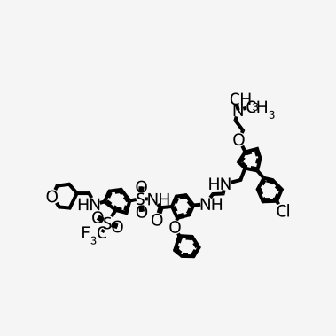 CN(C)CCOc1ccc(-c2ccc(Cl)cc2)c(CNCCNc2ccc(C(=O)NS(=O)(=O)c3ccc(NCC4CCOCC4)c(S(=O)(=O)C(F)(F)F)c3)c(Oc3ccccc3)c2)c1